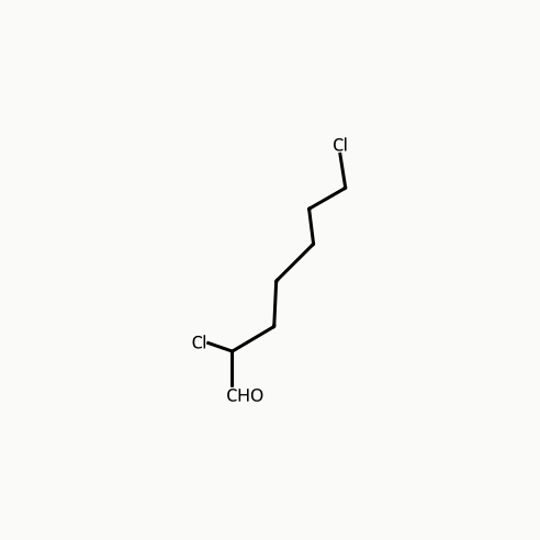 O=CC(Cl)CCCCCCl